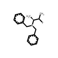 CC(F)[C@H](C)N(Cc1ccccc1)Cc1ccccc1